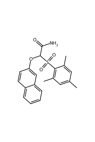 Cc1cc(C)c(S(=O)(=O)C(Oc2ccc3ccccc3c2)C(N)=O)c(C)c1